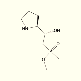 COP(C)(=O)C[C@@H](O)[C@@H]1CCCN1